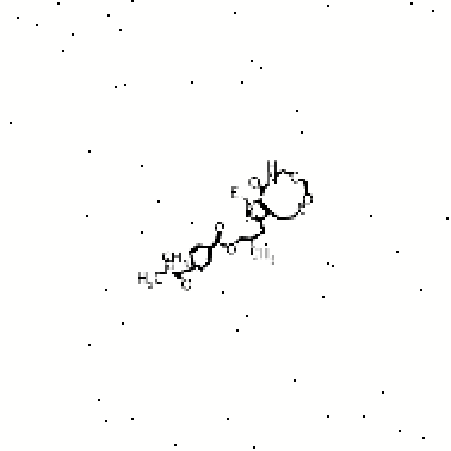 CCn1nc(C[C@@H](C)COC(=O)c2ccc(C(=O)N(C)C)cc2)c2c1C(=O)NCCCOCCC2